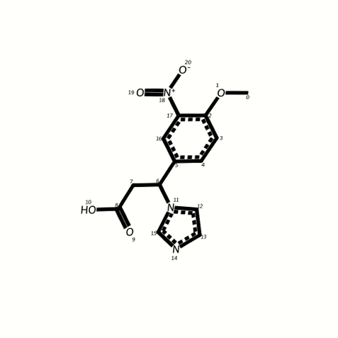 COc1ccc(C(CC(=O)O)n2ccnc2)cc1[N+](=O)[O-]